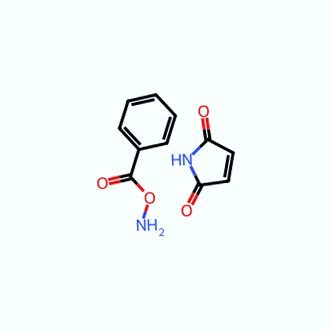 NOC(=O)c1ccccc1.O=C1C=CC(=O)N1